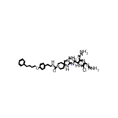 NN=NC1=NC(N=NN)=C(Cl)NC1C(=O)/N=C1/NC2(CCN(C(=O)NCCc3ccc(OCCCCc4ccccc4)cc3)CC2)CN1N